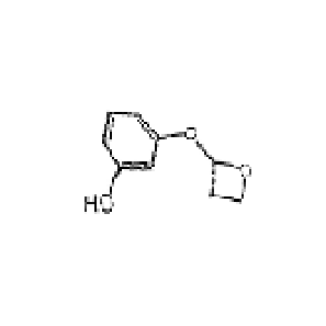 Oc1cccc(OC2CCO2)c1